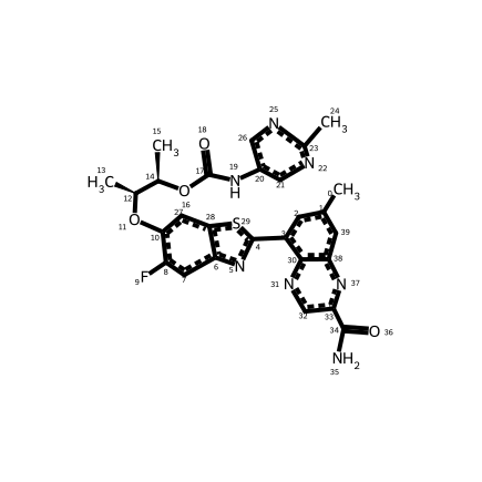 Cc1cc(-c2nc3cc(F)c(O[C@@H](C)[C@@H](C)OC(=O)Nc4cnc(C)nc4)cc3s2)c2ncc(C(N)=O)nc2c1